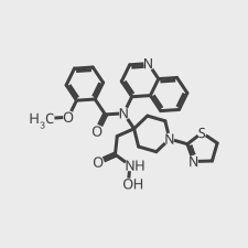 COc1ccccc1C(=O)N(c1ccnc2ccccc12)C1(CC(=O)NO)CCN(C2=NCCS2)CC1